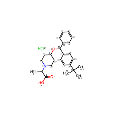 CC(C(=O)O)N1CCC(OC(c2ccccc2)c2ccc(C(C)(C)C)cc2)CC1.Cl